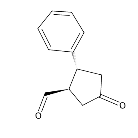 O=C[C@@H]1CC(=O)C[C@H]1c1ccccc1